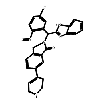 O=Nc1ccc(Cl)cc1C(c1nc2ccccc2[nH]1)N1Cc2ccc(C3=CCNCC3)cc2C1=O